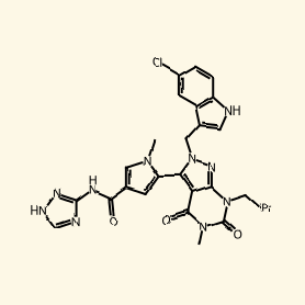 CC(C)Cn1c(=O)n(C)c(=O)c2c(-c3cc(C(=O)Nc4nc[nH]n4)cn3C)n(Cc3c[nH]c4ccc(Cl)cc34)nc21